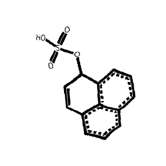 O=S(=O)(O)OC1C=Cc2cccc3cccc1c23